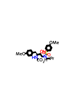 COc1ccc(C[C@H](NC(=O)O)[C@H](O)CN(CC(C)C)S(=O)(=O)c2ccc(OC)cc2)cc1